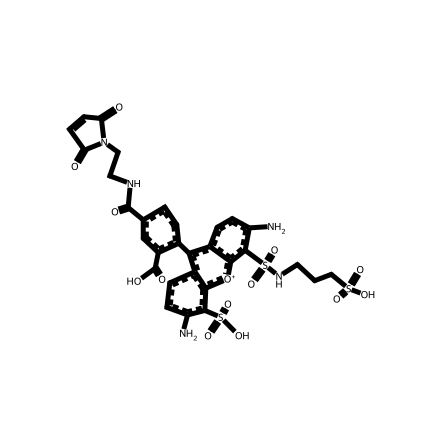 Nc1ccc2c(-c3ccc(C(=O)NCCN4C(=O)C=CC4=O)cc3C(=O)O)c3ccc(N)c(S(=O)(=O)NCCCS(=O)(=O)O)c3[o+]c2c1S(=O)(=O)O